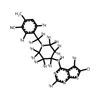 [2H]c1nc(N([2H])C2([2H])C([2H])([2H])C([2H])([2H])N(C([2H])([2H])c3c([2H])cc(C)c(C#N)c3[2H])C([2H])([2H])C2([2H])[2H])c2c([2H])c(Cl)sc2n1